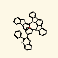 c1ccc(-c2nc3ccccc3nc2-c2cccc(-n3c4ccccc4c4ccc5c6ccccc6n(-c6cccc7c6sc6ccccc67)c5c43)c2)cc1